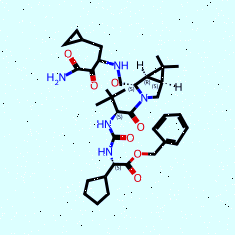 CC(C)(C)[C@H](NC(=O)N[C@H](C(=O)OCc1ccccc1)C1CCCC1)C(=O)N1C[C@H]2[C@@H]([C@H]1C(=O)NC(CC1CC1)C(=O)C(N)=O)C2(C)C